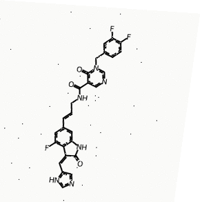 O=C1Nc2cc(C=CCNC(=O)c3cncn(Cc4ccc(F)c(F)c4)c3=O)cc(F)c2C1=Cc1cnc[nH]1